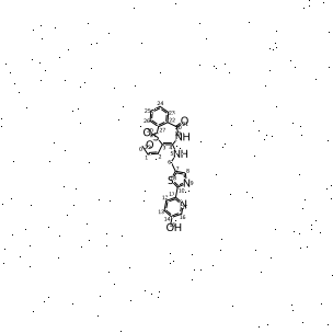 C/C=C\C1=C(NCc2cnc(-c3ccc(O)cn3)s2)NC(=O)c2ccccc2S1(=O)=O